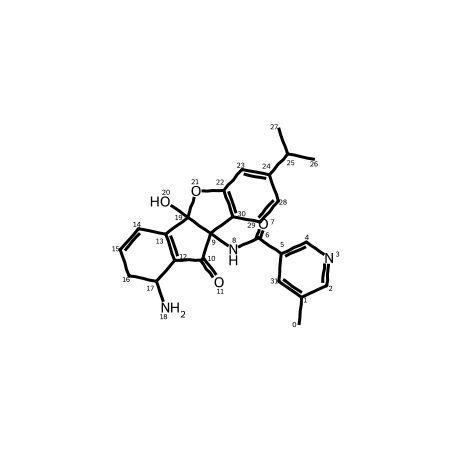 Cc1cncc(C(=O)NC23C(=O)C4=C(C=CCC4N)C2(O)Oc2cc(C(C)C)ccc23)c1